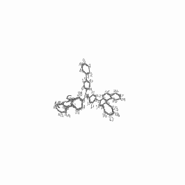 c1ccc(-c2ccc(N(c3ccc(-c4cc5ccccc5c5c4ccc4ccccc45)cc3)c3ccc4c(c3)sc3ncccc34)cc2)cc1